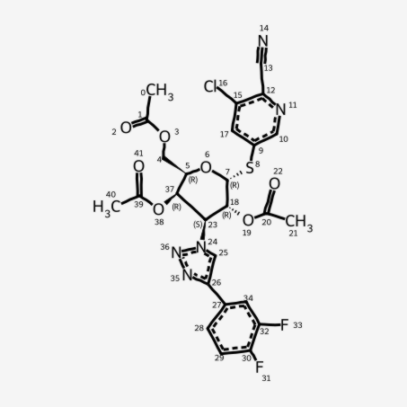 CC(=O)OC[C@H]1O[C@H](Sc2cnc(C#N)c(Cl)c2)[C@H](OC(C)=O)[C@@H](n2cc(-c3ccc(F)c(F)c3)nn2)[C@H]1OC(C)=O